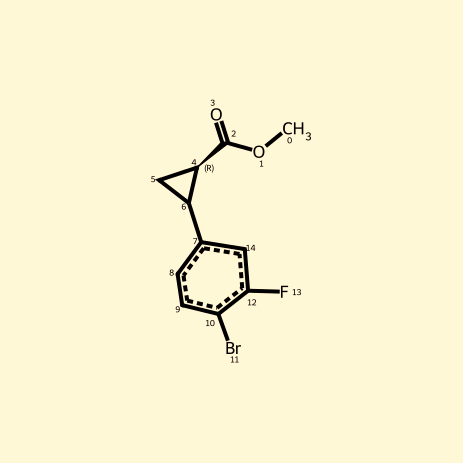 COC(=O)[C@@H]1CC1c1ccc(Br)c(F)c1